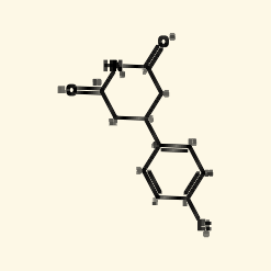 CCc1ccc(C2CC(=O)NC(=O)C2)cc1